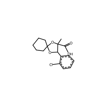 CC1(C(=O)O)OC2(CCCCC2)OC1c1ccccc1Cl